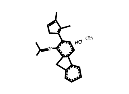 CC1=CCC(c2ccc3c([c]2[Zr]=[C](C)C)Cc2ccccc2-3)=C1C.Cl.Cl